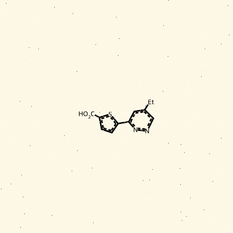 CCc1cnnc(-c2ccc(C(=O)O)s2)c1